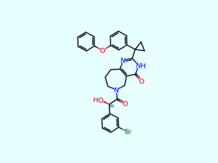 O=C([C@H](O)c1cccc(Br)c1)N1CCCc2nc(C3(c4cccc(Oc5ccccc5)c4)CC3)[nH]c(=O)c2C1